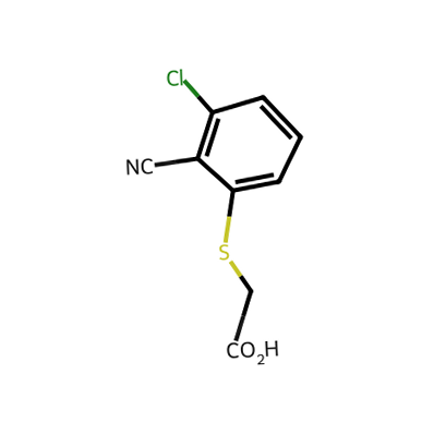 N#Cc1c(Cl)cccc1SCC(=O)O